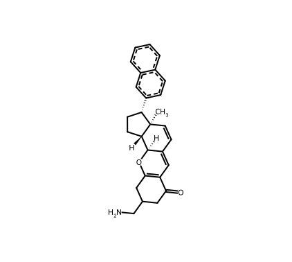 C[C@]12C=CC3=CC4=C(CC(CN)CC4=O)O[C@H]3[C@@H]1CC[C@@H]2c1ccc2ccccc2c1